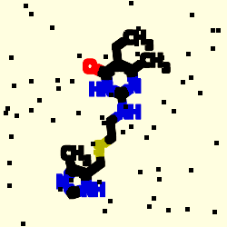 CCc1c(C)nc(NCCSCc2[nH]cnc2C)[nH]c1=O